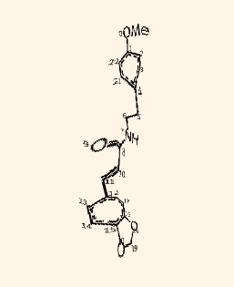 COc1ccc(CCNC(=O)C=Cc2ccc3c(c2)OCO3)cc1